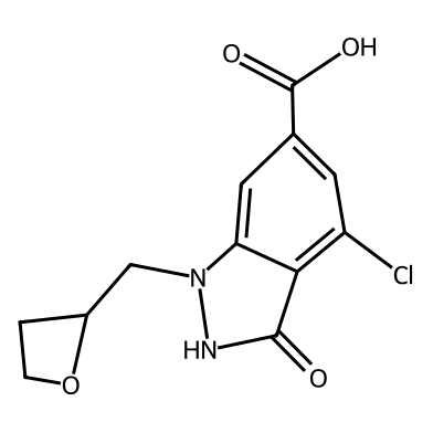 O=C(O)c1cc(Cl)c2c(=O)[nH]n(CC3CCO3)c2c1